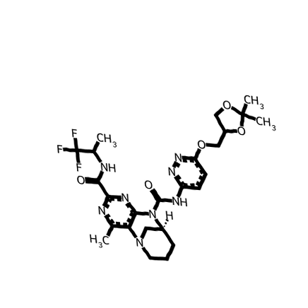 Cc1nc(C(=O)NC(C)C(F)(F)F)nc2c1N1CCC[C@@H](C1)N2C(=O)Nc1ccc(OCC2COC(C)(C)O2)nn1